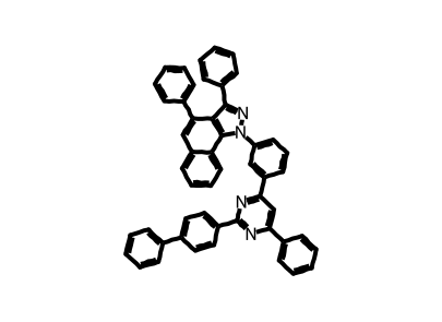 c1ccc(-c2ccc(-c3nc(-c4ccccc4)cc(-c4cccc(-n5nc(-c6ccccc6)c6c(-c7ccccc7)cc7ccccc7c65)c4)n3)cc2)cc1